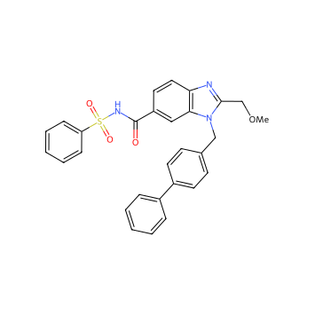 COCc1nc2ccc(C(=O)NS(=O)(=O)c3ccccc3)cc2n1Cc1ccc(-c2ccccc2)cc1